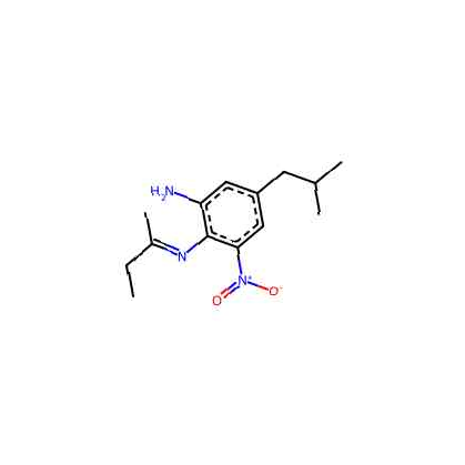 CC/C(C)=N/c1c(N)cc(CC(C)C)cc1[N+](=O)[O-]